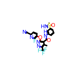 Cc1c(C(F)(F)F)nnc(Oc2ccc(C#N)nc2F)c1C(=O)Nc1cccc(S(C)(=N)=O)c1